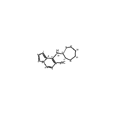 [C-]#[N+]c1cnn2cccc2c1NC1CCCCCC1